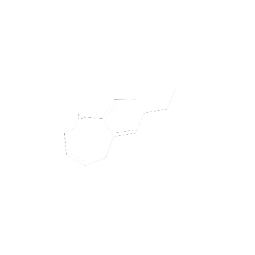 C/C=C1/N=CC=CC/C1=C/CCC